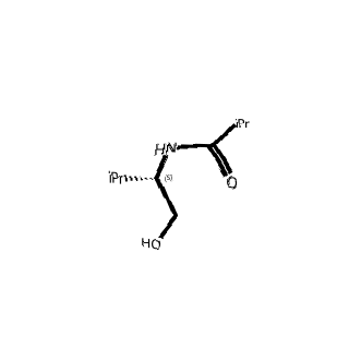 CC(C)C(=O)N[C@H](CO)C(C)C